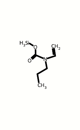 C=CN(CCC)C(=O)O[SiH3]